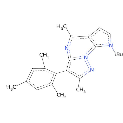 CCC(C)n1ccc2c(C)nc3c(-c4c(C)cc(C)cc4C)c(C)nn3c21